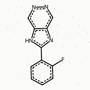 Fc1ccccc1-c1nc2cnncc2[nH]1